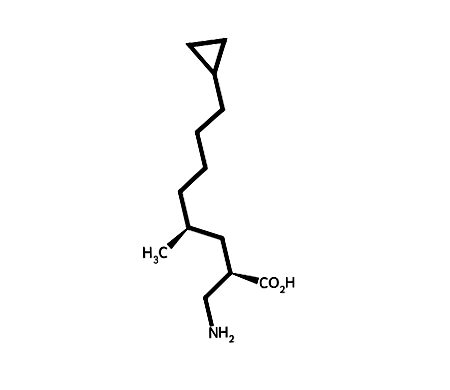 C[C@@H](CCCCC1CC1)C[C@H](CN)C(=O)O